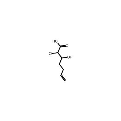 C=CCCC(O)C(Cl)C(=O)O